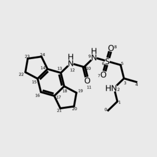 CCNC(C)CS(=O)(=O)NC(=O)Nc1c2c(cc3c1CCC3)CCC2